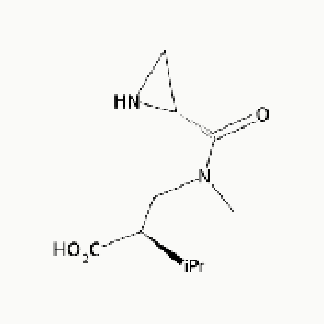 CC(C)[C@H](CN(C)C(=O)[C@H]1CN1)C(=O)O